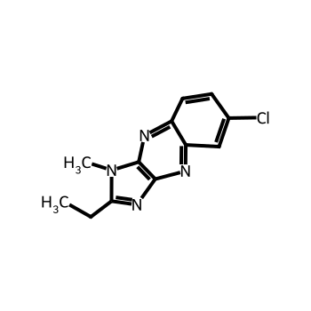 CCc1nc2nc3cc(Cl)ccc3nc2n1C